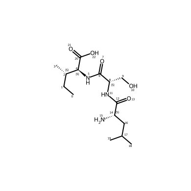 CC[C@H](C)[C@H](NC(=O)[C@H](CO)NC(=O)[C@@H](N)CC(C)C)C(=O)O